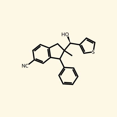 CC1([C@@H](O)c2ccsc2)Cc2ccc(C#N)cc2C1c1ccccc1